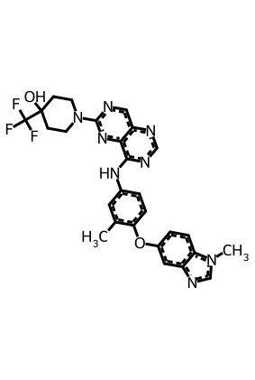 Cc1cc(Nc2ncnc3cnc(N4CCC(O)(C(F)(F)F)CC4)nc23)ccc1Oc1ccc2c(c1)ncn2C